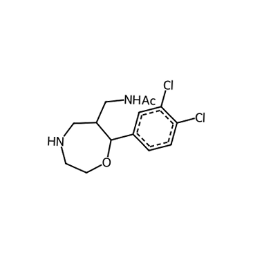 CC(=O)NCC1CNCCOC1c1ccc(Cl)c(Cl)c1